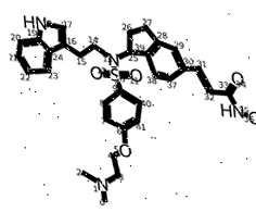 CN(C)CCOc1ccc(S(=O)(=O)N(CCc2c[nH]c3ccccc23)C2CCc3cc(C=CC(=O)NO)ccc32)cc1